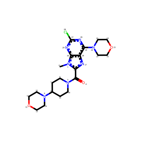 Cn1c(C(=O)N2CCC(N3CCOCC3)CC2)nc2c(N3CCOCC3)nc(Cl)nc21